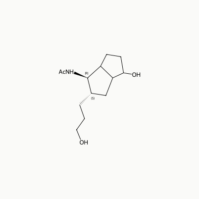 CC(=O)N[C@H]1C2CCC(O)C2C[C@@H]1CCCO